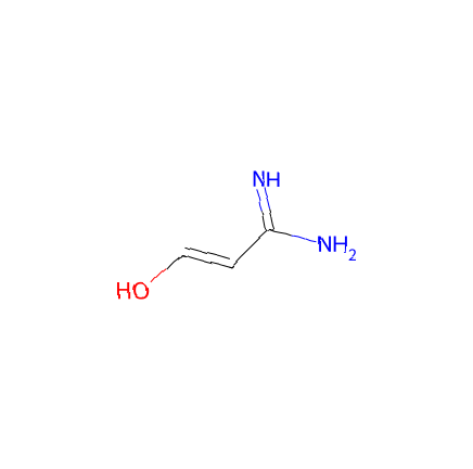 N=C(N)C=CO